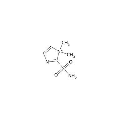 C[N+]1(C)C=CN=C1S(N)(=O)=O